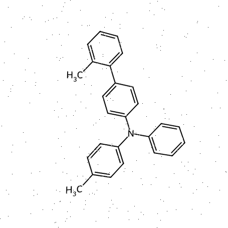 Cc1ccc(N(c2ccccc2)c2ccc(-c3ccccc3C)cc2)cc1